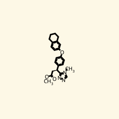 COC(=O)C[C@@H](c1ccc(Oc2ccc3c(c2)CCCC3)cc1)c1nncn1C